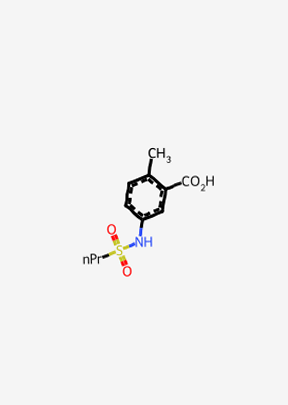 CCCS(=O)(=O)Nc1ccc(C)c(C(=O)O)c1